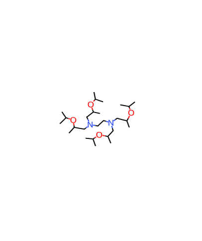 CC(C)OC(C)CN(CCN(CC(C)OC(C)C)CC(C)OC(C)C)CC(C)OC(C)C